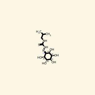 CC(C)CNC(=S)N/N=C1\[C@@H](O)[C@@H](O)[C@@H](O)[C@H](O)[C@H]1O